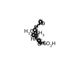 Cc1cc(OCCCN2CCCC2=O)cc(C)c1-c1cccc2c1OC[C@H]2Nc1ccc2c(c1)OC[C@H]2CC(=O)O